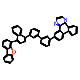 c1cc(-c2cccc(-c3ccc(-c4cccc5c4oc4ccccc45)c4ccccc34)c2)cc(-c2ccc3c4ccccc4c4nccnc4c3c2)c1